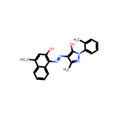 Cc1ccccc1-n1nc(C)c(/N=N/c2c(O)cc(C(=O)O)c3ccccc23)c1O